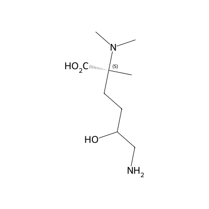 CN(C)[C@@](C)(CCC(O)CN)C(=O)O